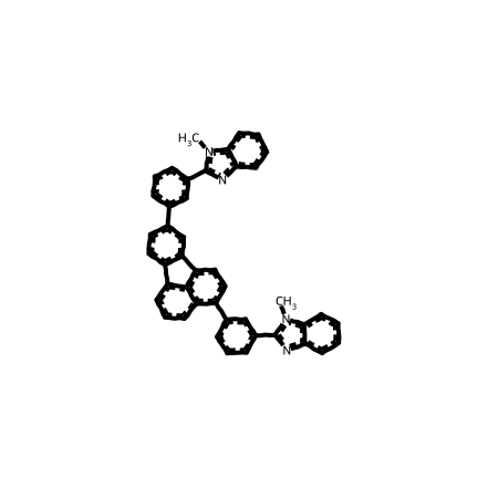 Cn1c(-c2cccc(-c3ccc4c(c3)-c3ccc(-c5cccc(-c6nc7ccccc7n6C)c5)c5cccc-4c35)c2)nc2ccccc21